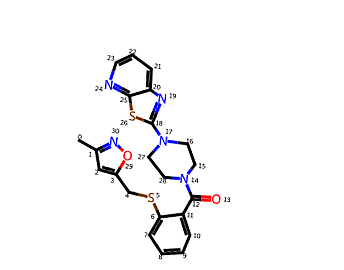 Cc1cc(CSc2ccccc2C(=O)N2CCN(c3nc4cccnc4s3)CC2)on1